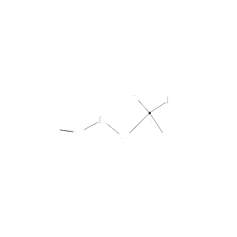 COBOC(F)(F)F